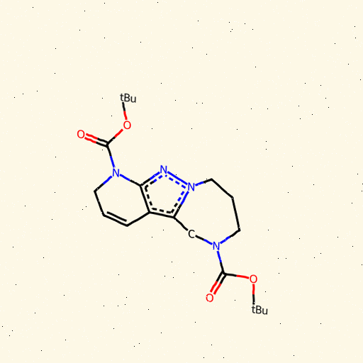 CC(C)(C)OC(=O)N1CCCn2nc3c(c2C1)C=CCN3C(=O)OC(C)(C)C